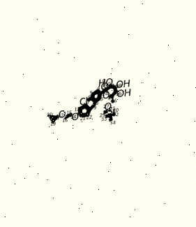 CO[C@@]1(c2ccc(Cl)c(Cc3ccc(OCCOC4CC4)cc3)c2)O[C@H](CO[Si](C)(C)C(C)(C)C)[C@@H](O)C(O)[C@H]1O